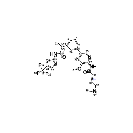 COc1nc(-c2cccc([C@H](C)C(=O)Nc3ncc(C(F)(F)F)s3)c2)cnc1NC(=O)/C=C/CN(C)C